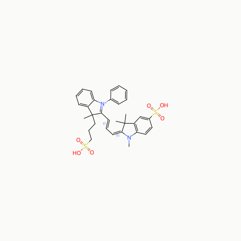 CN1/C(=C/C=C/C2=[N+](c3ccccc3)c3ccccc3C2(C)CCCS(=O)(=O)O)C(C)(C)c2cc(S(=O)(=O)O)ccc21